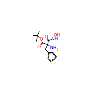 CC(C)(C)OC(=O)C(N)(Cc1ccccc1)C(=O)NO